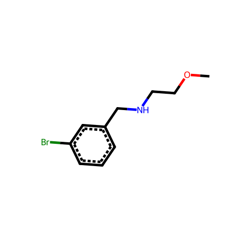 COCCNCc1cccc(Br)c1